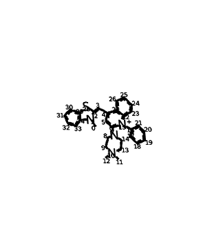 CN1C(=Cc2cc(N3CC[N+](C)(C)CC3)[n+](-c3ccccc3)c3ccccc23)Sc2ccccc21